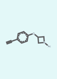 C#Cc1ccc(OC2CN(C(C)=O)C2)cc1